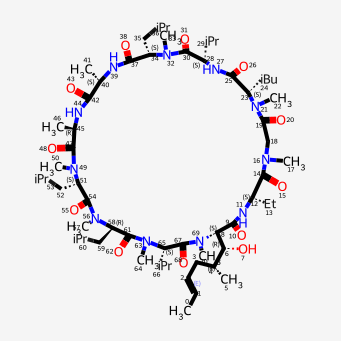 C/C=C/C[C@@H](C)[C@@H](O)[C@H]1C(=O)N[C@@H](CC)C(=O)N(C)CC(=O)N(C)[C@@H](C(C)CC)C(=O)N[C@@H](C(C)C)C(=O)N(C)[C@@H](CC(C)C)C(=O)N[C@@H](C)C(=O)N[C@H](C)C(=O)N(C)[C@@H](CC(C)C)C(=O)N(C)[C@H](CC(C)C)C(=O)N(C)[C@@H](C(C)C)C(=O)N1C